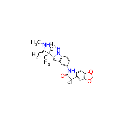 C=C(NC)C(C)(C)c1cc2cc(NC(=O)C3(c4ccc5c(c4)OCO5)CC3)ccc2[nH]1